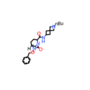 CCCCN1CC2(CC(NC(=O)C3CC[C@@H]4CN3C(=O)N4OCc3ccccc3)C2)C1